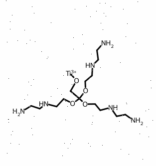 NCCNCCOC(C[O][Ti+3])(OCCNCCN)OCCNCCN